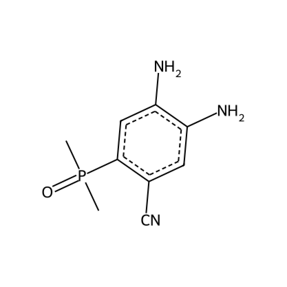 CP(C)(=O)c1cc(N)c(N)cc1C#N